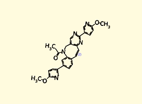 COc1ccc(-c2ccc3c(c2)N(C(C)=O)Cc2cnc(-c4ccc(OC)nc4)nc2/C=C\3)cn1